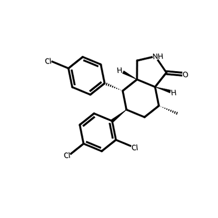 C[C@@H]1C[C@@H](c2ccc(Cl)cc2Cl)[C@H](c2ccc(Cl)cc2)[C@@H]2CNC(=O)[C@@H]21